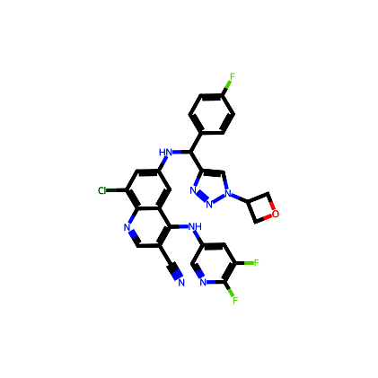 N#Cc1cnc2c(Cl)cc(NC(c3ccc(F)cc3)c3cn(C4COC4)nn3)cc2c1Nc1cnc(F)c(F)c1